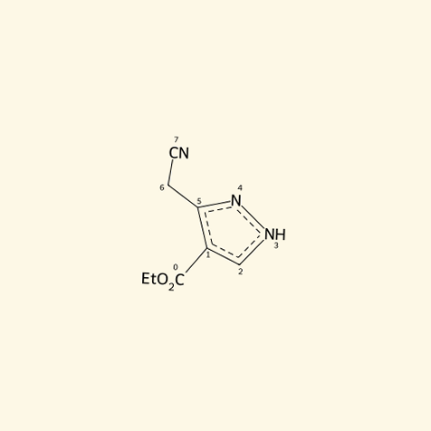 CCOC(=O)c1c[nH]nc1CC#N